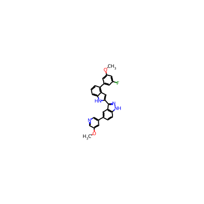 COc1cncc(-c2ccc3[nH]nc(-c4cc5c(-c6cc(F)cc(OC)c6)cccc5[nH]4)c3c2)c1